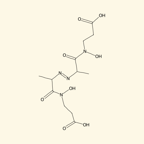 CC(N=NC(C)C(=O)N(O)CCC(=O)O)C(=O)N(O)CCC(=O)O